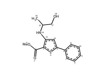 COC(=O)c1sc(-c2ccccc2)cc1NC(C)CO